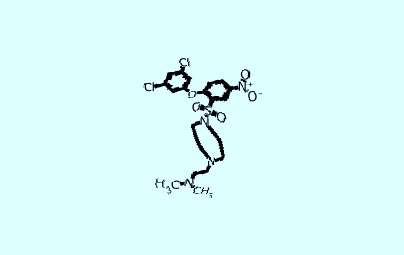 CN(C)CCN1CCN(S(=O)(=O)c2cc([N+](=O)[O-])ccc2Oc2cc(Cl)cc(Cl)c2)CC1